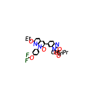 CCOc1ccc2cc(-c3ccc4nc(OS(=O)(=O)C(C)C)n(C)c4c3)c(=O)n(-c3ccc(OC(F)F)cc3)c2n1